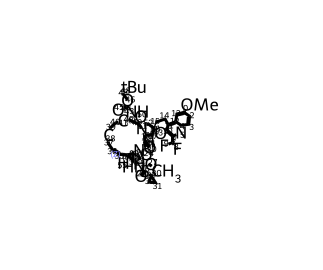 COc1ccc2nc(C(F)F)c3c(c2c1)CC[C@]1(C[C@H]2C(=O)N[C@]4(C(=O)NS(=O)(=O)C5(C)CC5)C[C@H]4/C=C\CCCCC[C@H](NC(=O)OCC(C)(C)C)C(=O)N2C1)O3